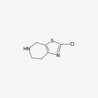 Clc1nc2c(s1)CNCC2